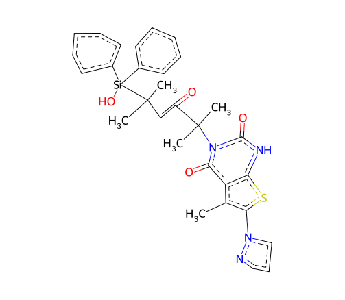 Cc1c(-n2cccn2)sc2[nH]c(=O)n(C(C)(C)C(=O)CC(C)(C)[Si](O)(c3ccccc3)c3ccccc3)c(=O)c12